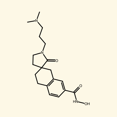 CN(C)CCCN1CCC2(CCc3ccc(C(=O)NO)cc3C2)C1=O